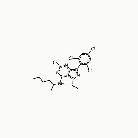 CCCCC(C)Nc1nc(Cl)nc2c1c(SC)nn2-c1c(Cl)cc(Cl)cc1Cl